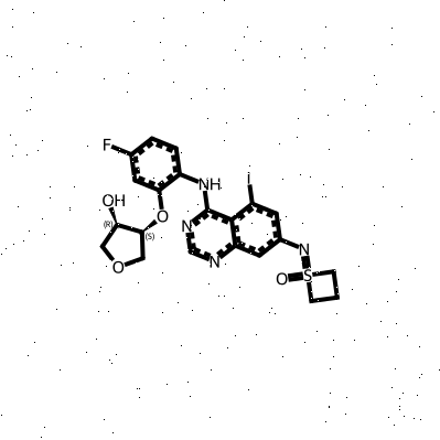 O=S1(=Nc2cc(I)c3c(Nc4ccc(F)cc4O[C@H]4COC[C@H]4O)ncnc3c2)CCC1